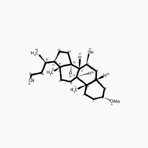 CO[C@@H]1CC[C@@]2(C)[C@@H](C1)C[C@H](O)[C@@H]1[C@@H]2CC[C@]2(C)[C@@H]([C@H](C)CCC#N)CC[C@@H]12